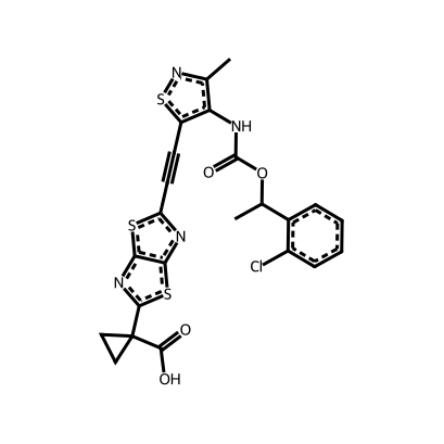 Cc1nsc(C#Cc2nc3sc(C4(C(=O)O)CC4)nc3s2)c1NC(=O)OC(C)c1ccccc1Cl